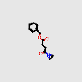 O=C(CCC(=O)N1CC1)OCc1ccccc1